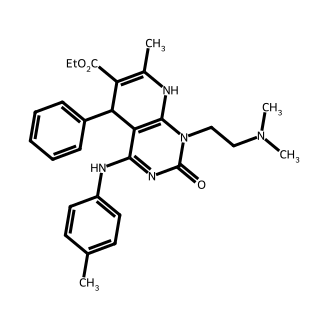 CCOC(=O)C1=C(C)Nc2c(c(Nc3ccc(C)cc3)nc(=O)n2CCN(C)C)C1c1ccccc1